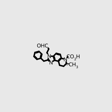 C[C@H]1CCc2c(ccc3c2nc(Cc2ccccc2)n3CCC=O)N1C(=O)O